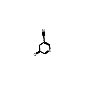 N#CC1=CN=CC(=O)C1